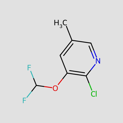 Cc1cnc(Cl)c(OC(F)F)c1